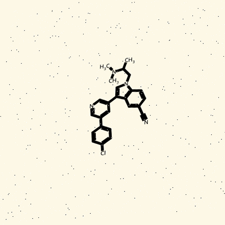 CC(Cn1cc(-c2cncc(-c3ccc(Cl)cc3)c2)c2cc(C#N)ccc21)N(C)C